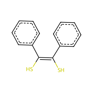 S/C(=C(\S)c1ccccc1)c1ccccc1